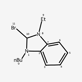 CCCCN1c2ccccc2N(CC)C1Br